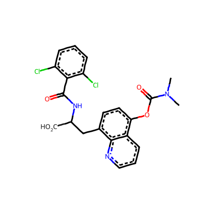 CN(C)C(=O)Oc1ccc(CC(NC(=O)c2c(Cl)cccc2Cl)C(=O)O)c2ncccc12